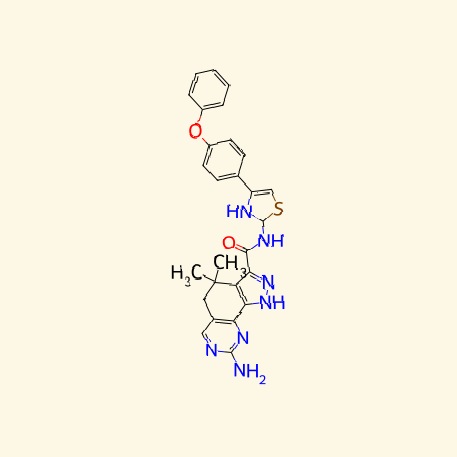 CC1(C)Cc2cnc(N)nc2-c2[nH]nc(C(=O)NC3NC(c4ccc(Oc5ccccc5)cc4)=CS3)c21